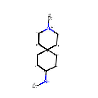 CCNC1CCC2(CC1)CCN(CC)CC2